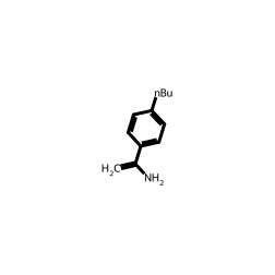 C=C(N)c1ccc(CCCC)cc1